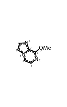 COc1nccn2ccnc12